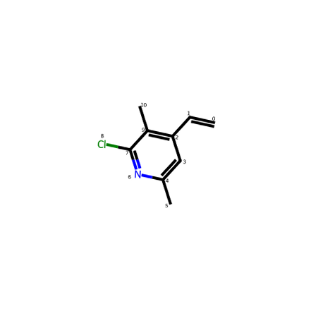 C=Cc1cc(C)nc(Cl)c1C